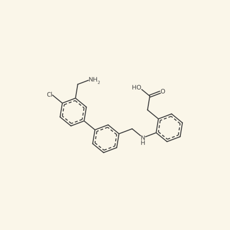 NCc1cc(-c2cccc(CNc3ccccc3CC(=O)O)c2)ccc1Cl